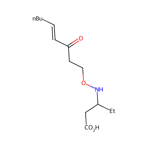 CCCCC=CC(=O)CCONC(CC)CC(=O)O